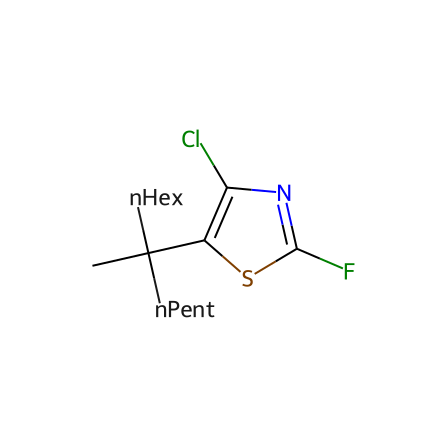 CCCCCCC(C)(CCCCC)c1sc(F)nc1Cl